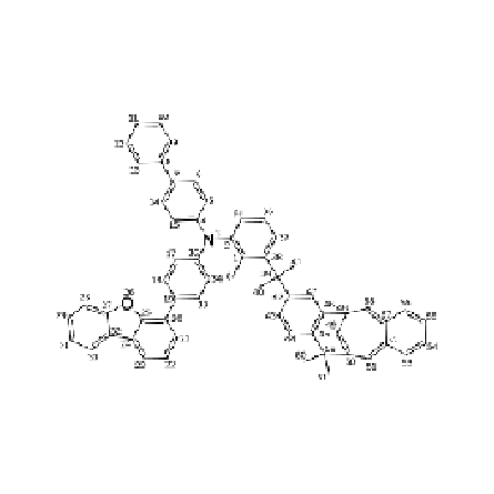 Cc1c(N(c2ccc(-c3ccccc3)cc2)c2ccc(-c3cccc4c3oc3ccccc34)cc2)cccc1C(C)(C)c1ccc2c(c1)C1C=C(C=c3ccccc3=C1)C2(C)C